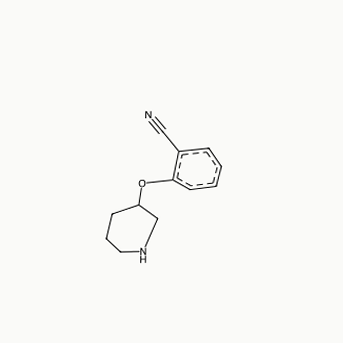 N#Cc1ccccc1OC1CCCNC1